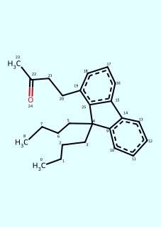 CCCCC1(CCCC)c2ccccc2-c2cccc(CCC(C)=O)c21